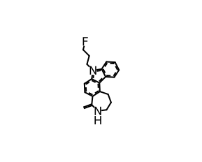 C=C1NCCCc2c1ccc1c2c2ccccc2n1CCCF